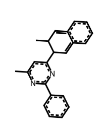 Cc1cc(C2C=c3ccccc3=CC2C)nc(-c2ccccc2)n1